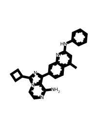 Cc1cc(Nc2ccccc2)nc2cc(-c3nc(C4CCC4)n4ccnc(N)c34)ccc12